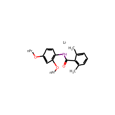 CCCOc1ccc(PC(=O)c2c(C)cccc2C)c(OCCC)c1.[Li]